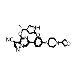 C[C@@H](Oc1nc(-c2ccc(N3CCN(C4COC4)CC3)cc2)cn2ncc(C#N)c12)[C@H]1CNC(=O)C1